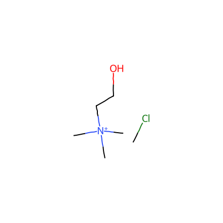 CCl.C[N+](C)(C)CCO